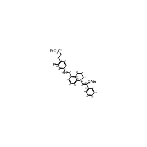 CCOC(=O)CCc1ccc(NCc2cccc3c2CCCN3/C=C(\OC)c2ccccc2)cc1F